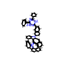 C1=C2C(c3ccccc3N2C2CCc3ccc(C4NC(c5ccccc5)=NC(c5ccccc5)N4)cc3C2)C(n2c3ccccc3c3ccc4ccccc4c32)c2ccccc21